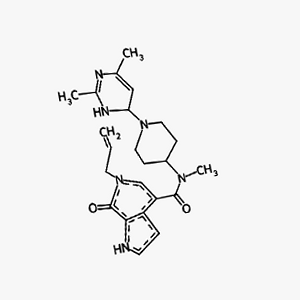 C=CCn1cc(C(=O)N(C)C2CCN(C3C=C(C)N=C(C)N3)CC2)c2cc[nH]c2c1=O